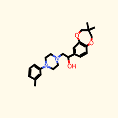 Cc1cccc(N2CCN(CC(O)c3ccc4c(c3)OCC(C)(C)CO4)CC2)c1